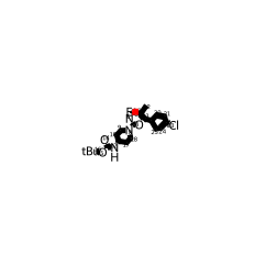 CC/C(C)=C(\O/C(=N\C)N1CCC(NC(=O)OC(C)(C)C)CC1)C1C=CC(Cl)=CC1